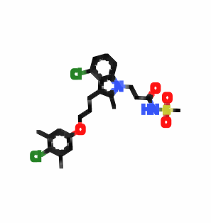 Cc1cc(OCCCc2c(C)n(CCC(=O)NS(C)(=O)=O)c3cccc(Cl)c23)cc(C)c1Cl